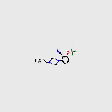 CCCN1CCN(c2cccc(OC(F)(F)F)c2C#N)CC1